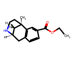 CCOC(=O)c1ccc2c(c1)[C@]1(C)CCN[C@H](C2)[C@H]1C